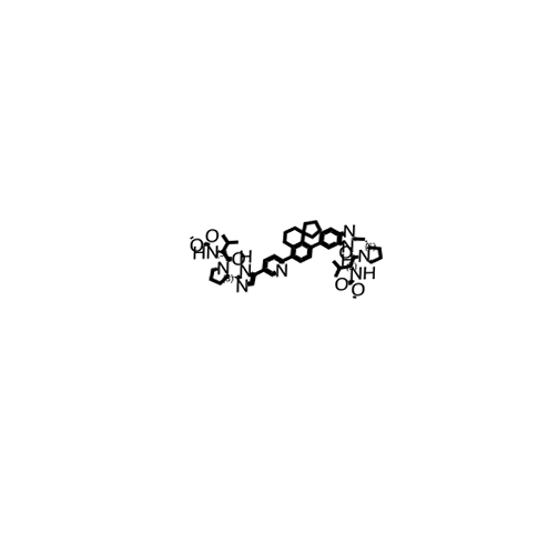 COC(=O)N[C@H](C(=O)N1CCC[C@H]1Cc1nc2ccc(-c3ccc(-c4ccc(-c5cnc([C@@H]6CCCN6C(=O)[C@@H](NC(=O)OC)C(C)C)[nH]5)cn4)c4c3C3(CCCC3)CCC4)cc2[nH]1)C(C)C